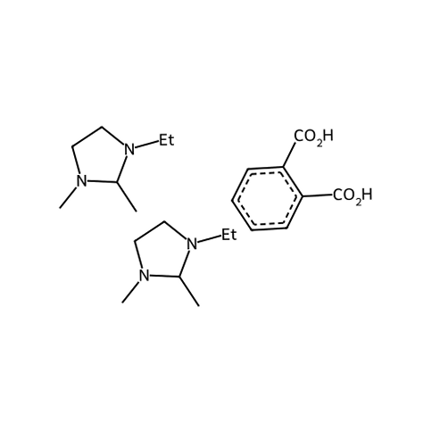 CCN1CCN(C)C1C.CCN1CCN(C)C1C.O=C(O)c1ccccc1C(=O)O